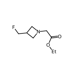 CCOC(=O)CN1CC(CF)C1